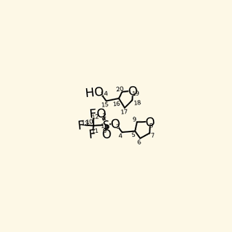 O=S(=O)(OCC1CCOC1)C(F)(F)F.OCC1CCOC1